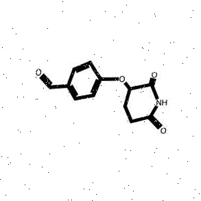 O=Cc1ccc(OC2CCC(=O)NC2=O)cc1